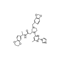 Cc1cc(N2CCN(Cc3ccc4c(c3)OCO4)CC2CC(=O)NC(C)c2ccc3c(c2)OCCO3)nc(-n2ccnc2)n1